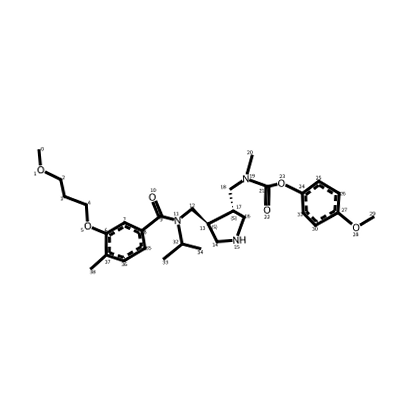 COCCCOc1cc(C(=O)N(C[C@@H]2CNC[C@H]2CN(C)C(=O)Oc2ccc(OC)cc2)C(C)C)ccc1C